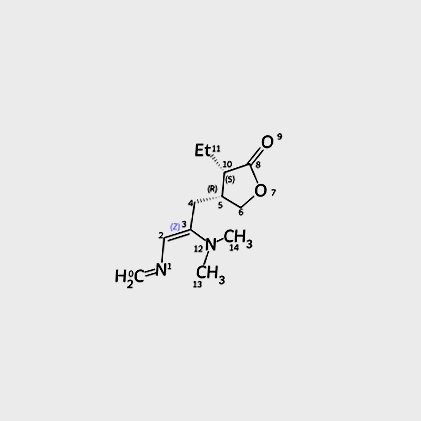 C=N/C=C(/C[C@H]1COC(=O)[C@H]1CC)N(C)C